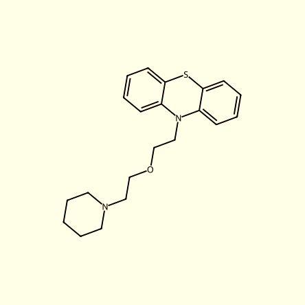 c1ccc2c(c1)Sc1ccccc1N2CCOCCN1CCCCC1